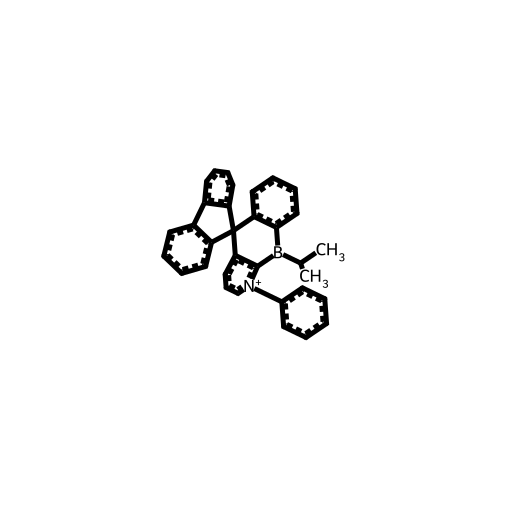 CC(C)B1c2ccccc2C2(c3ccccc3-c3ccccc32)c2ccc[n+](-c3ccccc3)c21